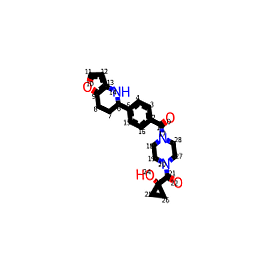 O=C(c1ccc(C2CCc3occc3N2)cc1)N1CCN(C(=O)C2(O)CC2)CC1